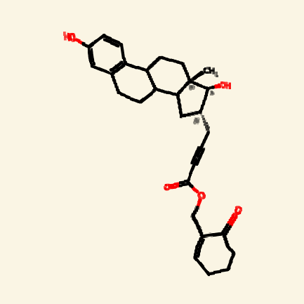 C[C@]12CCC3c4ccc(O)cc4CCC3C1C[C@@H](CC#CC(=O)OCC1=CCCCC1=O)[C@@H]2O